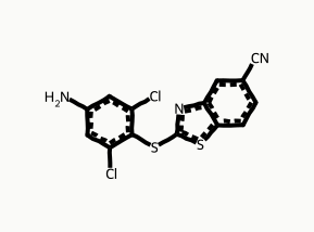 N#Cc1ccc2sc(Sc3c(Cl)cc(N)cc3Cl)nc2c1